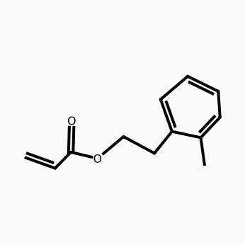 C=CC(=O)OCCc1ccccc1C